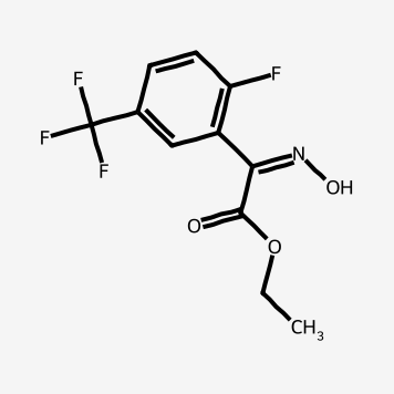 CCOC(=O)/C(=N\O)c1cc(C(F)(F)F)ccc1F